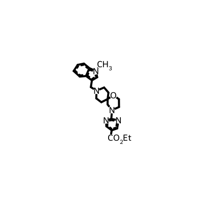 CCOC(=O)c1cnc(N2CCOC3(CCN(Cc4cn(C)c5ccccc45)CC3)C2)nc1